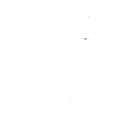 CC(=N)N(CCCC[C@H](N)C(=O)O)OC(=O)CS